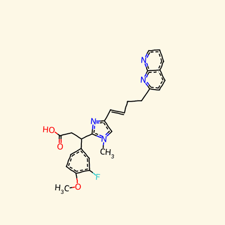 COc1ccc(C(CC(=O)O)c2nc(/C=C/CCc3ccc4cccnc4n3)cn2C)cc1F